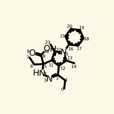 CCC1=NNC(CC)(C(=O)O)c2c1c(C)n(-c1ccccc1)c2C